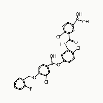 O=C(Nc1cc(OB(O)c2ccc(OCc3ccccc3F)c(Cl)c2)ccc1Cl)c1cc(B(O)O)ccc1Cl